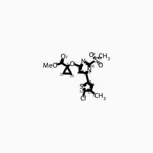 COC(=O)C1(Oc2cc(-c3cc(C)c(Cl)s3)nc(S(C)(=O)=O)n2)CC1